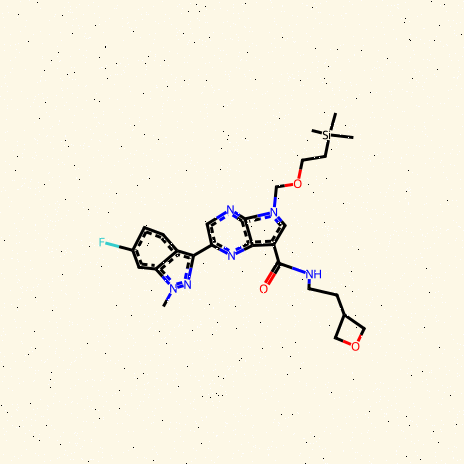 Cn1nc(-c2cnc3c(n2)c(C(=O)NCCC2COC2)cn3COCC[Si](C)(C)C)c2ccc(F)cc21